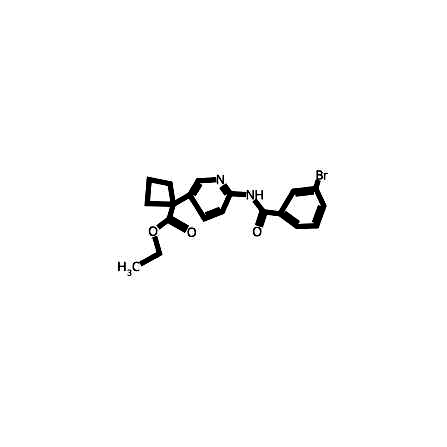 CCOC(=O)C1(c2ccc(NC(=O)c3cccc(Br)c3)nc2)CCC1